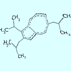 CC(C)c1cccc2c(C(C)C)c(C(C)C)cc-2c1